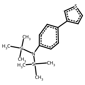 C[Si](C)(C)N(c1ccc(-c2[c]scc2)cc1)[Si](C)(C)C